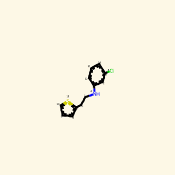 Clc1[c]c(NCCc2cccs2)ccc1